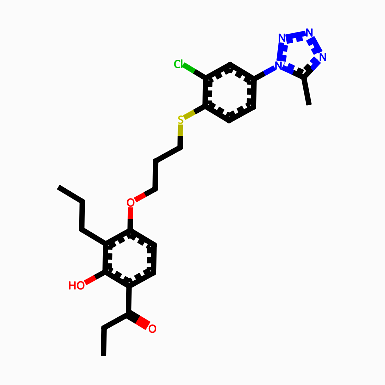 CCCc1c(OCCCSc2ccc(-n3nnnc3C)cc2Cl)ccc(C(=O)CC)c1O